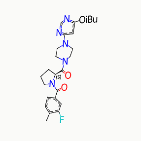 Cc1ccc(C(=O)N2CCC[C@H]2C(=O)N2CCN(c3cc(OCC(C)C)ncn3)CC2)cc1F